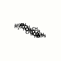 C[C@@H]1C[C@@]2(C)[C@@H](CC[C@@H]3[C@@H]2CC[C@]2(C)[C@@H](O)CC[C@@H]32)C/C1=N\N=C1/C[C@@H]2CC[C@@H]3[C@H](CC[C@]4(C)[C@@H](O)CC[C@@H]34)[C@@]2(C)C[C@H]1C